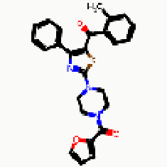 Cc1ccccc1C(=O)c1sc(N2CCN(C(=O)c3ccco3)CC2)nc1-c1ccccc1